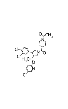 CC(=O)N1CCC(C(=O)N2C[C@H]([C@H](C)Oc3ccc(Cl)cn3)[C@@H](c3ccc(Cl)c(Cl)c3)C2)CC1